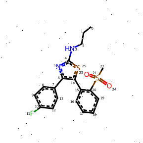 CCCNc1nc(-c2ccc(F)cc2)c(-c2ccccc2S(C)(=O)=O)s1